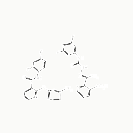 C/C(=N\NC(=O)Nc1cc(F)cc(F)c1)c1ncccc1C(=O)O.O=C(Nc1ccc(F)cc1F)c1cccnc1Oc1cccc(C(F)(F)F)c1